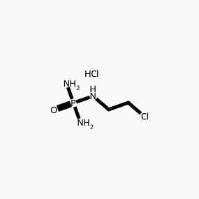 Cl.NP(N)(=O)NCCCl